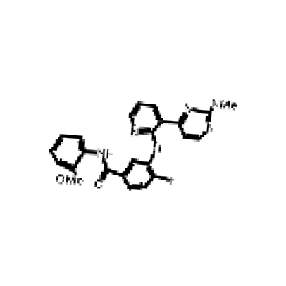 CNc1nccc(-c2cccnc2Oc2cc(C(=O)Nc3ccccc3OC)ccc2F)n1